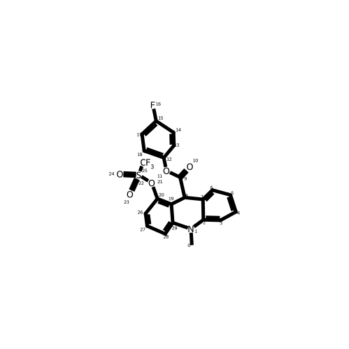 CN1c2ccccc2C(C(=O)Oc2ccc(F)cc2)c2c(OS(=O)(=O)C(F)(F)F)cccc21